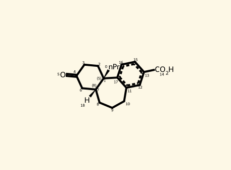 CCC[C@]12CCC(=O)C[C@H]1CCCc1cc(C(=O)O)ccc12